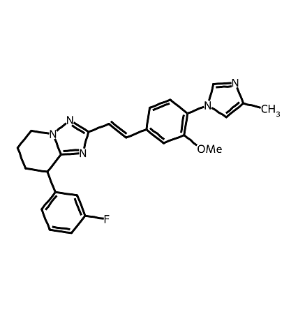 COc1cc(C=Cc2nc3n(n2)CCCC3c2cccc(F)c2)ccc1-n1cnc(C)c1